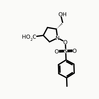 Cc1ccc(S(=O)(=O)ON2CC(C(=O)O)C[C@@H]2CO)cc1